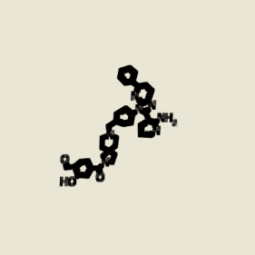 Nc1ncccc1-c1nc2ccc(-c3ccccc3)nc2n1-c1ccc(CN2CCC3(CC2)CCN(C(=O)c2ccc(C=O)c(O)c2)C3)cc1